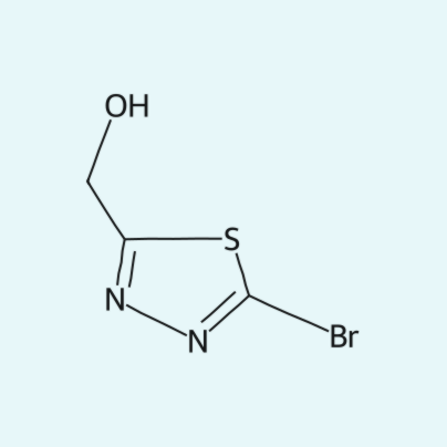 OCc1nnc(Br)s1